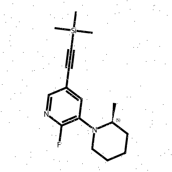 C[C@H]1CCCCN1c1cc(C#C[Si](C)(C)C)cnc1F